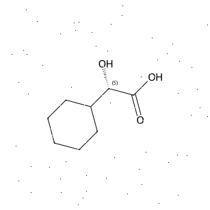 O=C(O)[C@@H](O)C1CCCCC1